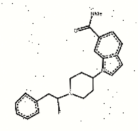 CNC(=O)c1ccc2ccn(C3CCN(C(F)Cc4ccccc4)CC3)c2c1